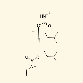 CCNC(=O)OC(C)(C#CC(C)(CCC(C)C)OC(=O)NCC)CCC(C)C